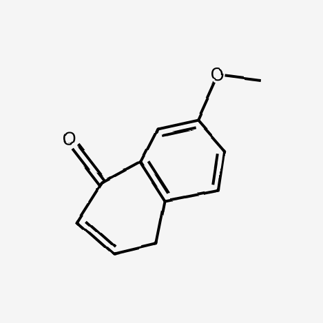 COc1ccc2c(c1)C(=O)C=CC2